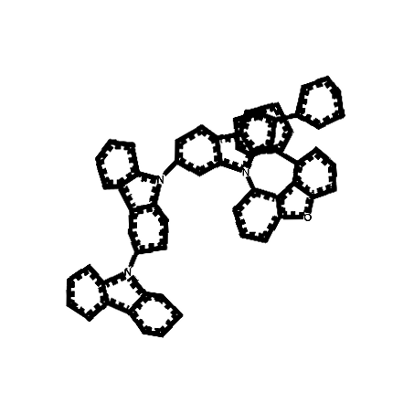 c1ccc(-c2ccccc2-c2cccc3oc4cccc(-n5c6ccccc6c6ccc(-n7c8ccccc8c8cc(-n9c%10ccccc%10c%10ccccc%109)ccc87)cc65)c4c23)cc1